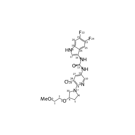 COCCOC1CCN(c2ncc(NC(=O)Nc3c[nH]c4cc(F)c(F)cc34)cc2Cl)C1